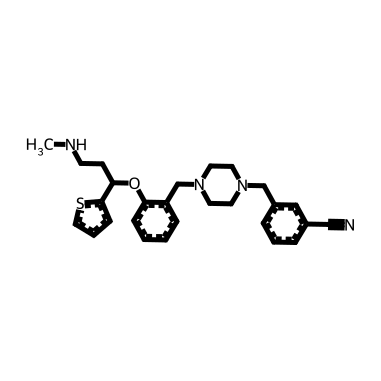 CNCCC(Oc1ccccc1CN1CCN(Cc2cccc(C#N)c2)CC1)c1cccs1